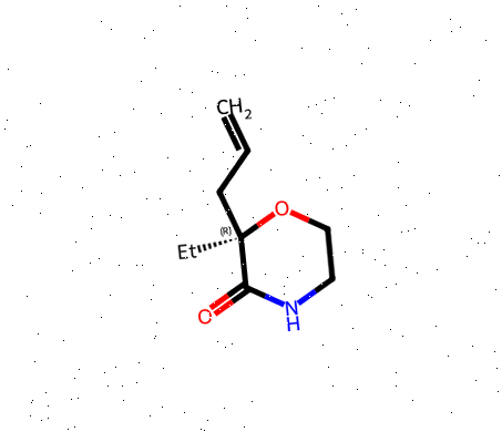 C=CC[C@@]1(CC)OCCNC1=O